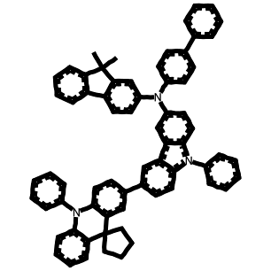 CC1(C)c2ccccc2-c2ccc(N(c3ccc(-c4ccccc4)cc3)c3ccc4c(c3)c3cc(-c5ccc6c(c5)C5(CCCC5)c5ccccc5N6c5ccccc5)ccc3n4-c3ccccc3)cc21